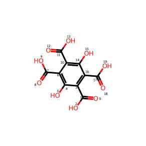 O=C(O)c1c(O)c(C(=O)O)c(C(=O)O)c(O)c1C(=O)O